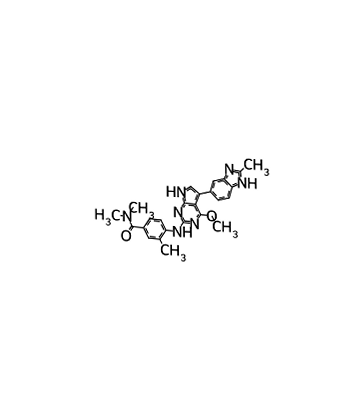 COc1nc(Nc2ccc(C(=O)N(C)C)cc2C)nc2[nH]cc(-c3ccc4[nH]c(C)nc4c3)c12